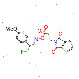 COc1ccc(C(C=NOS(=O)(=O)CCN2C(=O)c3ccccc3C2=O)CF)cc1